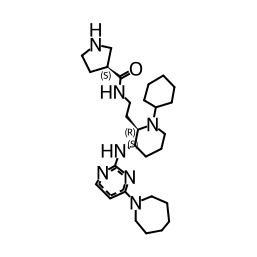 O=C(NCC[C@@H]1[C@@H](Nc2nccc(N3CCCCCC3)n2)CCCN1C1CCCCC1)[C@H]1CCNC1